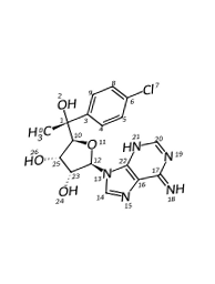 C[C@@](O)(c1ccc(Cl)cc1)[C@H]1O[C@@H](n2cnc3c(=N)nc[nH]c32)[C@H](O)[C@@H]1O